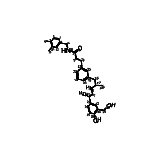 Cc1ccc(CNC(=O)CCc2cccc(C[C@@H](C)NC[C@H](O)c3ccc(O)c(CO)c3)c2)cc1C